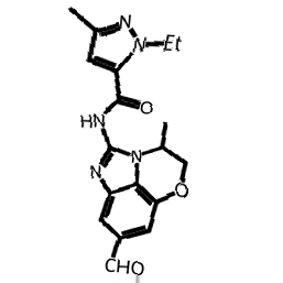 CCn1nc(C)cc1C(=O)Nc1nc2cc(C=O)cc3c2n1C(C)CO3